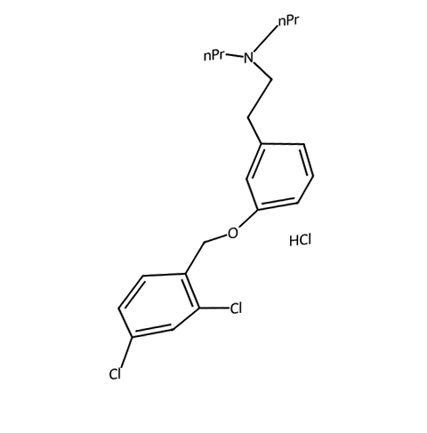 CCCN(CCC)CCc1cccc(OCc2ccc(Cl)cc2Cl)c1.Cl